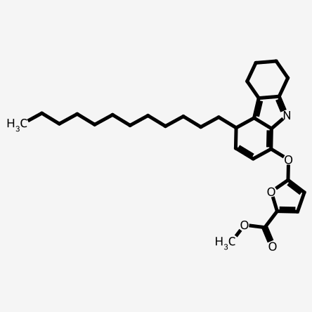 CCCCCCCCCCCCC1C=CC(Oc2ccc(C(=O)OC)o2)=C2N=C3CCCCC3=C21